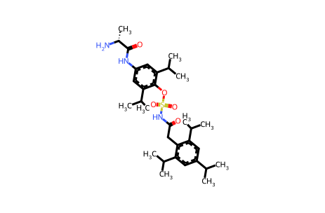 CC(C)c1cc(C(C)C)c(CC(=O)NS(=O)(=O)Oc2c(C(C)C)cc(NC(=O)[C@@H](C)N)cc2C(C)C)c(C(C)C)c1